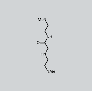 CNCCNCC(=O)NCCNC